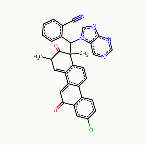 CC1C=c2c(ccc3c2=CC(=O)c2cc(Cl)ccc2-3)C(C)(C(c2ccccc2C#N)n2cnc3ncncc32)C1=O